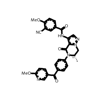 COc1ccc(C(=O)c2ccc(N3C(=O)c4c(NC(=O)c5ccc(OC)c(C#N)c5)cnn4C[C@@H]3C)cc2)cn1